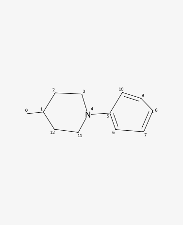 CC1CCN(c2cc[c]cc2)CC1